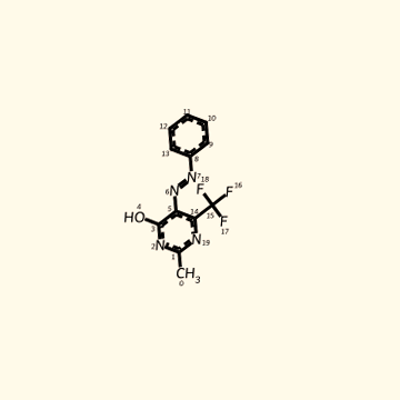 Cc1nc(O)c(/N=N/c2ccccc2)c(C(F)(F)F)n1